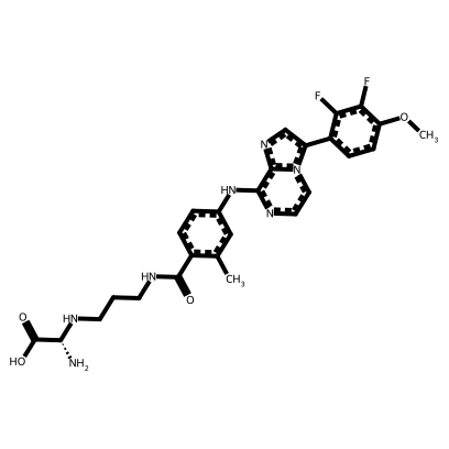 COc1ccc(-c2cnc3c(Nc4ccc(C(=O)NCCCN[C@H](N)C(=O)O)c(C)c4)nccn23)c(F)c1F